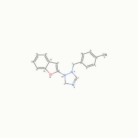 N#Cc1ccc(CN2C=NCN2c2cc3ccccc3o2)cc1